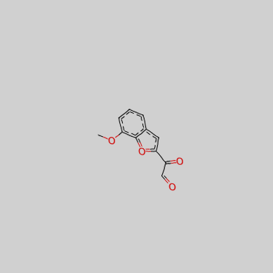 COc1cccc2cc(C(=O)C=O)oc12